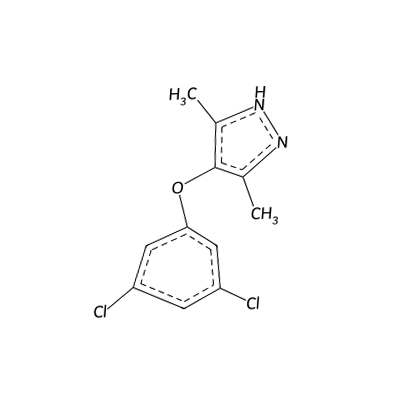 Cc1n[nH]c(C)c1Oc1cc(Cl)cc(Cl)c1